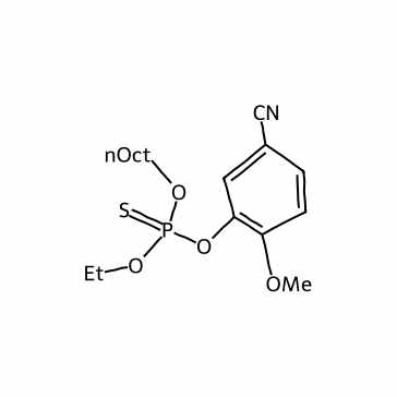 CCCCCCCCOP(=S)(OCC)Oc1cc(C#N)ccc1OC